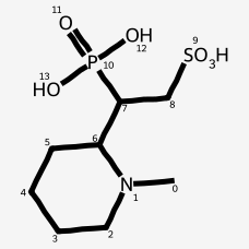 CN1CCCCC1C(CS(=O)(=O)O)P(=O)(O)O